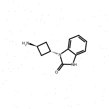 N[C@H]1C[C@H](n2c(=O)[nH]c3ccccc32)C1